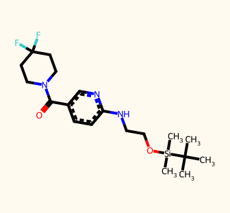 CC(C)(C)[Si](C)(C)OCCNc1ccc(C(=O)N2CCC(F)(F)CC2)cn1